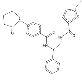 O=C(NC(CNC(=O)c1ccc(Cl)s1)c1ccccc1)c1ccc(N2CCCCC2=O)cc1